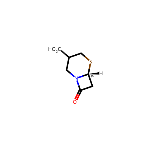 O=C(O)C1CS[C@@H]2CC(=O)N2C1